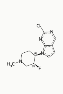 CN1CC[C@@H](n2ccc3cnc(Cl)nc32)[C@@H](F)C1